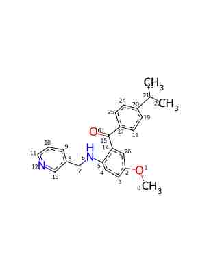 COc1ccc(NCc2cccnc2)c(C(=O)c2ccc(C(C)C)cc2)c1